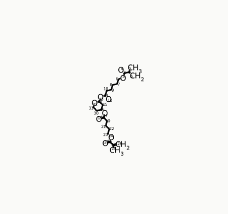 C=C(C)C(=O)OCCCCCC(=O)OC1CC(OC(=O)CCCCOC(=O)C(=C)C)CCO1